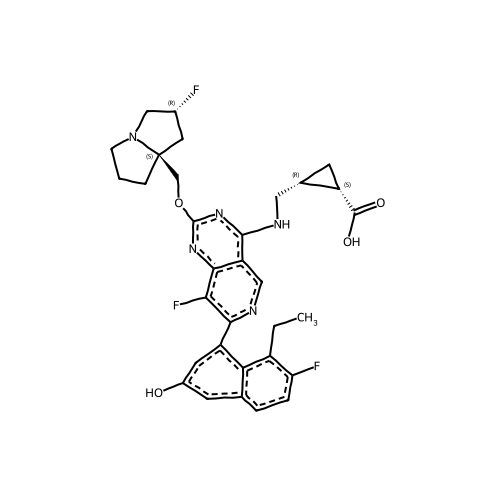 CCc1c(F)ccc2cc(O)cc(-c3ncc4c(NC[C@@H]5C[C@@H]5C(=O)O)nc(OC[C@@]56CCCN5C[C@H](F)C6)nc4c3F)c12